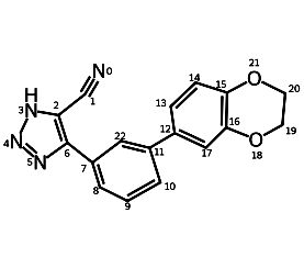 N#Cc1[nH]nnc1-c1cccc(-c2ccc3c(c2)OCCO3)c1